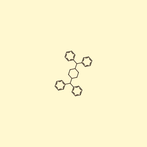 c1ccc(C(c2ccccc2)C2CCC(C(c3ccccc3)c3ccccc3)CC2)cc1